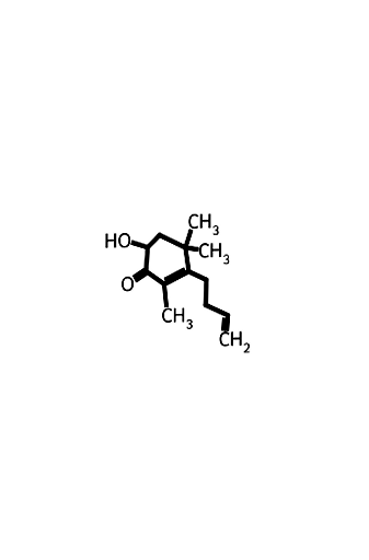 C=CCCC1=C(C)C(=O)C(O)CC1(C)C